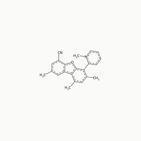 Cc1cc(C#N)c2oc3c(-c4cccc[n+]4C)c(C)cc(C)c3c2c1